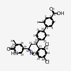 Cc1cc(C(=O)O)ccc1-c1ccc([C@H](C/C(=N\O)c2c[nH]c(=O)c(C)c2)c2ccc(Cl)cc2Cl)cc1